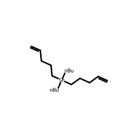 C=CCC[CH2][Sn]([CH2]CCC)([CH2]CCC)[CH2]CCC=C